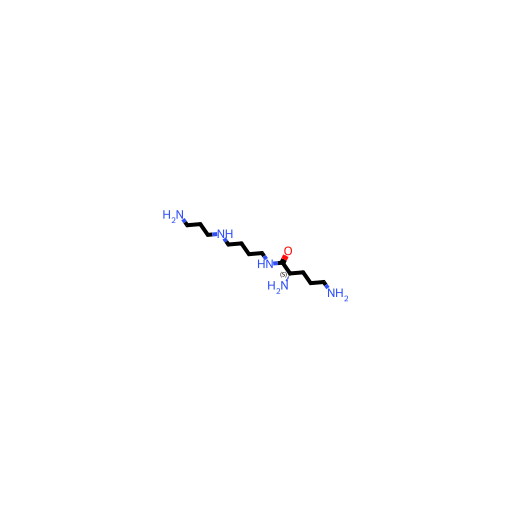 NCCCNCCCCNC(=O)[C@@H](N)CCCN